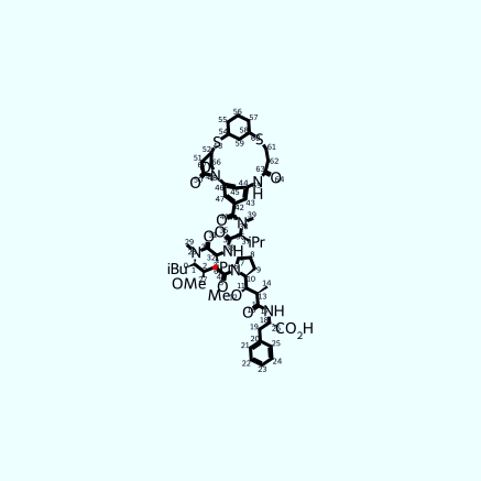 CC[C@H](C)[C@@H]([C@@H](CC(=O)N1CCC[C@H]1[C@H](OC)[C@@H](C)C(=O)N[C@@H](Cc1ccccc1)C(=O)O)OC)N(C)C(=O)[C@@H](NC(=O)[C@H](C(C)C)N(C)C(=O)c1cc2cc(c1)N1C(=O)CC(SC3CCCC(C3)SCCC(=O)N2)C1=O)C(C)C